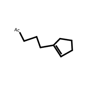 CC(=O)CCCC1=CCCC1